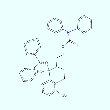 CC(C)(C)c1cccc2c1CCC(CCOC(=O)N(c1ccccc1)c1ccccc1)C2(O)O[SiH](c1ccccc1)c1ccccc1